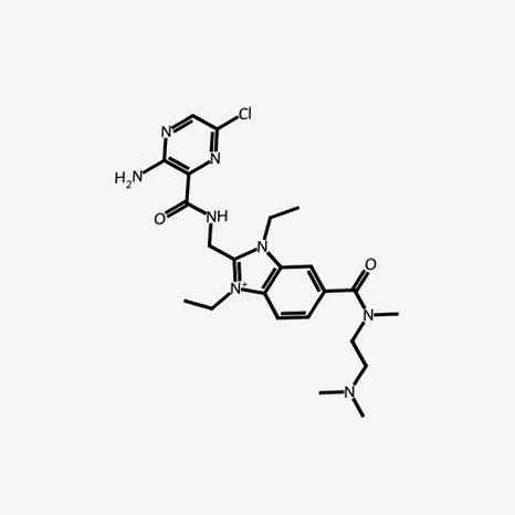 CCn1c(CNC(=O)c2nc(Cl)cnc2N)[n+](CC)c2ccc(C(=O)N(C)CCN(C)C)cc21